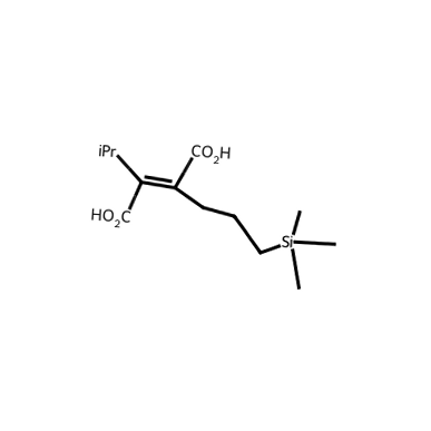 CC(C)/C(C(=O)O)=C(/CCC[Si](C)(C)C)C(=O)O